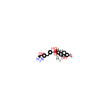 C[C@]12C=CC(=O)C=C1CC[C@@H]1[C@@H]2[C@@H](O)C[C@@]2(C)[C@H]1C[C@H]1O[C@@H](c3cccc(Cc4ccc(C5(O)CC5)c(N)c4)c3)O[C@]12C(=O)CO